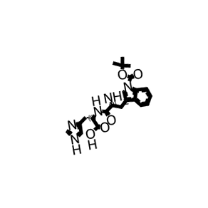 CC(C)(C)OC(=O)n1cc(C[C@@H](N)C(=O)N[C@@H](Cc2c[nH]cn2)C(=O)O)c2ccccc21